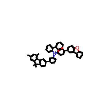 Cc1cc(C)c2c(c1)C(C)(C)c1ccc(-c3cccc(N(c4ccc(-c5ccc6oc7ccccc7c6c5)cc4)c4ccccc4-c4ccccc4)c3)cc1-2